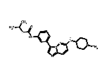 CC(C)OC(=O)Nc1cccc(-c2cnc3ccc(NC4CCN(C)CC4)nn23)c1